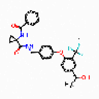 CC(O)c1ccc(Oc2ccc(CNC(=O)C3(NC(=O)c4ccccc4)CC3)cc2)c(C(F)(F)F)c1